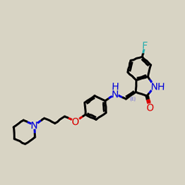 O=C1Nc2cc(F)ccc2/C1=C\Nc1ccc(OCCCN2CCCCC2)cc1